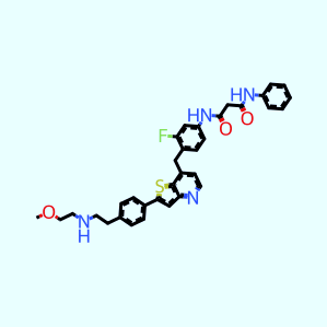 COCCNCCc1ccc(-c2cc3nccc(Cc4ccc(NC(=O)CC(=O)Nc5ccccc5)cc4F)c3s2)cc1